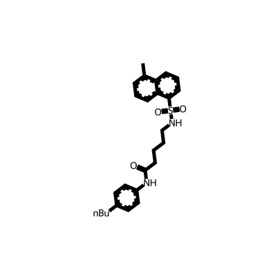 CCCCc1ccc(NC(=O)CCCCNS(=O)(=O)c2cccc3c(C)cccc23)cc1